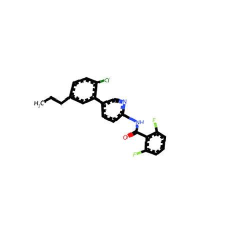 CCCc1ccc(Cl)c(-c2ccc(NC(=O)c3c(F)cccc3F)nc2)c1